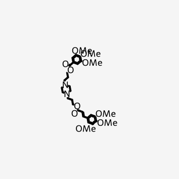 COc1cc(/C=C/C(=O)OCCCN2CCN(CCCOC(=O)c3cc(OC)c(OC)c(OC)c3)CC2)cc(OC)c1OC